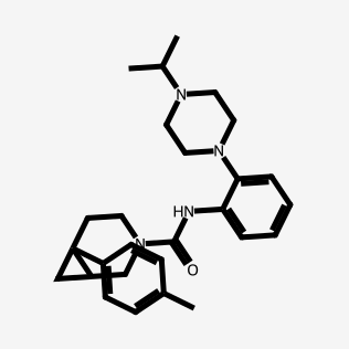 Cc1ccc(C23CCN(C(=O)Nc4ccccc4N4CCN(C(C)C)CC4)CC2C3)cc1